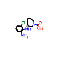 Nc1cccc(Cl)c1N[C@@H]1CCCCN(C(=O)O)C1